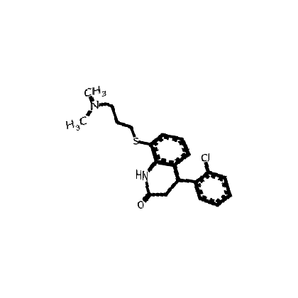 CN(C)CCCSc1cccc2c1NC(=O)CC2c1ccccc1Cl